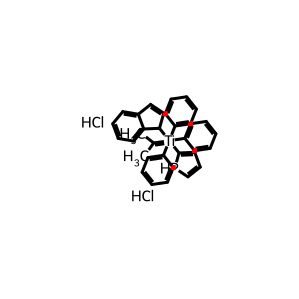 C[C](C)=[Ti]([c]1ccccc1)([c]1ccccc1)([c]1ccccc1)([c]1ccc[pH]1)[CH]1C=Cc2ccccc21.Cl.Cl